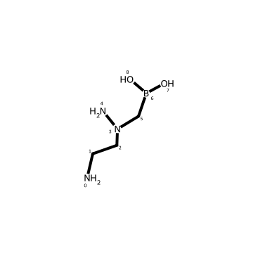 NCCN(N)CB(O)O